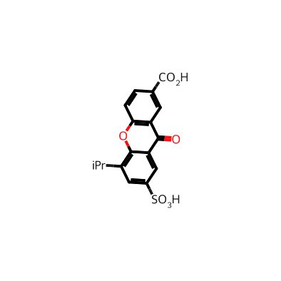 CC(C)c1cc(S(=O)(=O)O)cc2c(=O)c3cc(C(=O)O)ccc3oc12